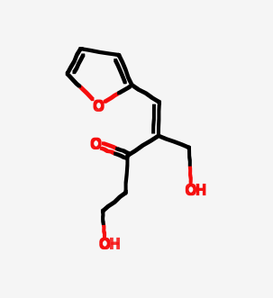 O=C(CCO)C(=Cc1ccco1)CO